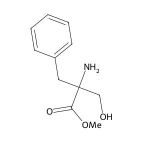 COC(=O)C(N)(CO)Cc1ccccc1